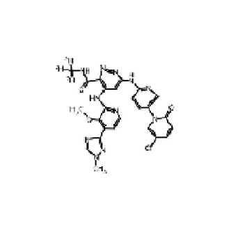 [2H]C([2H])([2H])NC(=O)c1nnc(Nc2ccc(-n3cc(Cl)ccc3=O)cn2)cc1Nc1nccc(-c2ncn(C)n2)c1OC